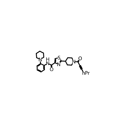 CCCC#CC(=O)N1CCC(c2nc(C(=O)Nc3ccccc3N3CCCCC3)cs2)CC1